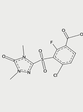 Cn1nc(S(=O)(=O)c2c(Cl)ccc(C(=O)O)c2F)n(C)c1=O